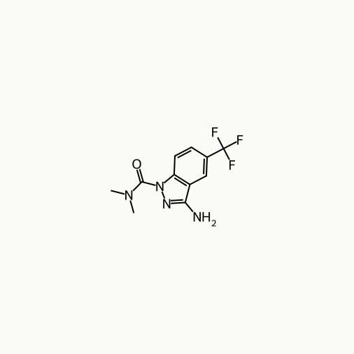 CN(C)C(=O)n1nc(N)c2cc(C(F)(F)F)ccc21